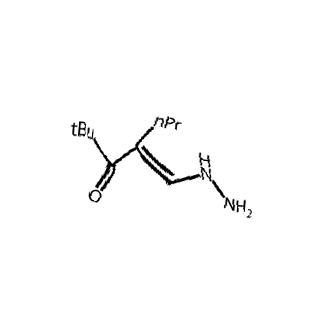 CCC/C(=C\NN)C(=O)C(C)(C)C